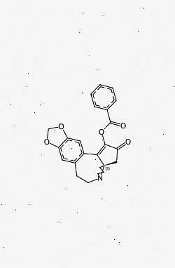 O=C1C[C@]23CCCN2CCc2cc4c(cc2C3=C1OC(=O)c1ccccc1)OCO4